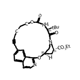 CCOC(=O)[C@@H]1C[C@@H]2CN1C(=O)[C@H](C(C)(C)C)NC(=O)OCCCC#Cc1ccc3ccnc(c3c1)O2